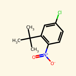 CC(C)(C)c1cc(Cl)ccc1[N+](=O)[O-]